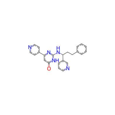 O=c1cc(-c2ccncc2)nc(NC(CCc2ccccc2)c2cccnc2)[nH]1